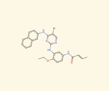 C/C=C/C(=O)Nc1ccc(OCC)c(Nc2ncc(Br)c(Nc3ccc4ccccc4c3)n2)c1